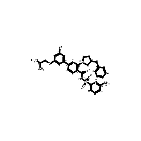 CC(C)COc1cc(F)cc(-c2ccc(C(=O)NS(=O)(=O)c3cccc(N)n3)c(N3CCC(Cc4ccccc4)C3)n2)c1